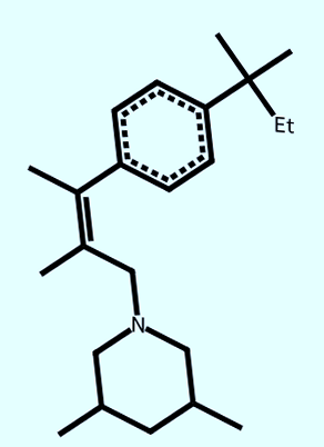 CCC(C)(C)c1ccc(C(C)=C(C)CN2CC(C)CC(C)C2)cc1